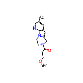 CCCOCCC(=O)N1CCn2c(cc3cc(C(C)=O)cnc32)C1